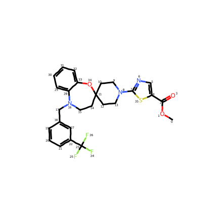 COC(=O)c1cnc(N2CCC3(CC2)CCN(Cc2cccc(C(F)(F)F)c2)c2ccccc2O3)s1